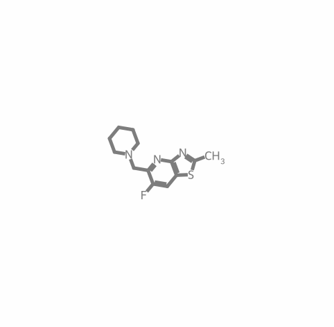 Cc1nc2nc(CN3CCCCC3)c(F)cc2s1